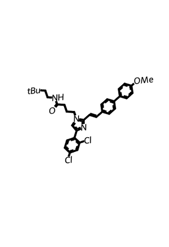 COc1ccc(-c2ccc(/C=C/c3nc(-c4ccc(Cl)cc4Cl)cn3CCCC(=O)NCCC(C)(C)C)cc2)cc1